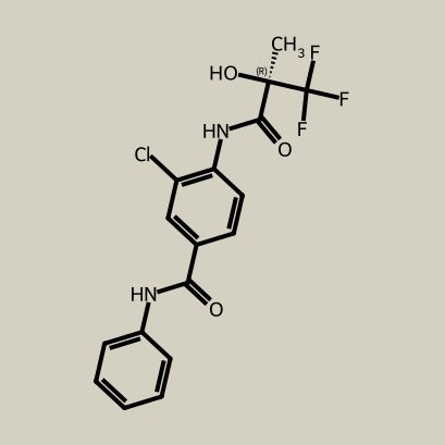 C[C@@](O)(C(=O)Nc1ccc(C(=O)Nc2ccccc2)cc1Cl)C(F)(F)F